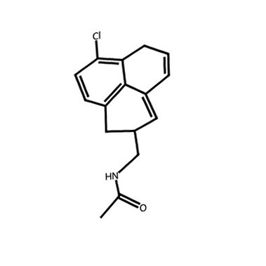 CC(=O)NCC1C=C2C=CCc3c(Cl)ccc(c32)C1